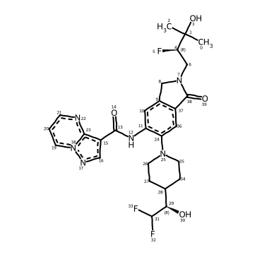 CC(C)(O)[C@H](F)CN1Cc2cc(NC(=O)c3cnn4cccnc34)c(N3CCC([C@@H](O)C(F)F)CC3)cc2C1=O